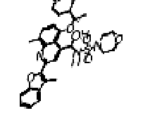 Cc1c(-c2cc(C(O)NS(=O)(=O)N3CCOCC3)c3c(O[C@H](C)C4CCOCC4)ccc(C)c3n2)oc2ccccc12